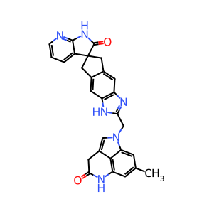 Cc1cc2c3c(cn(Cc4nc5cc6c(cc5[nH]4)CC4(C6)C(=O)Nc5ncccc54)c3c1)CC(=O)N2